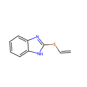 C=CSc1nc2ccccc2[nH]1